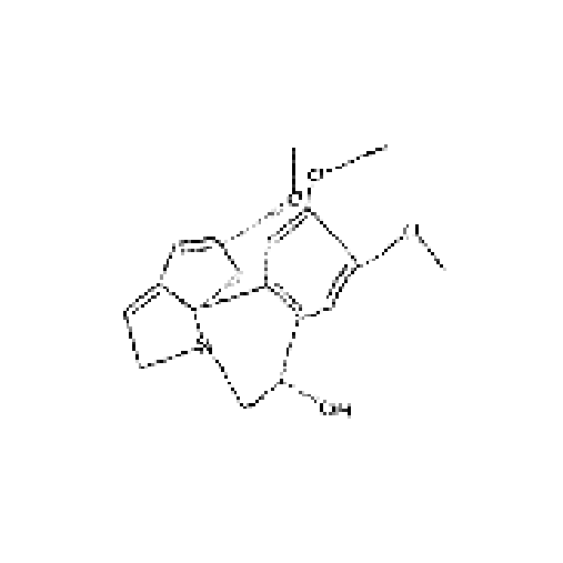 COc1cc2c(cc1OC)[C@]13C[C@@H](OC)C=CC1=CCN3C[C@H]2O